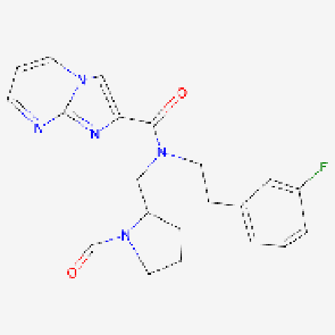 O=CN1CCCC1CN(CCc1cccc(F)c1)C(=O)c1cn2cccnc2n1